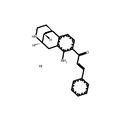 I.Nc1c(C(=O)C=Cc2ccccc2)ccc2c1C[C@H]1NCC[C@@]23CCCC[C@@H]13